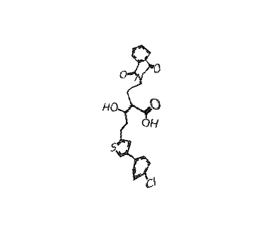 O=C(O)C(CCN1C(=O)c2ccccc2C1=O)C(O)CCc1cc(-c2ccc(Cl)cc2)cs1